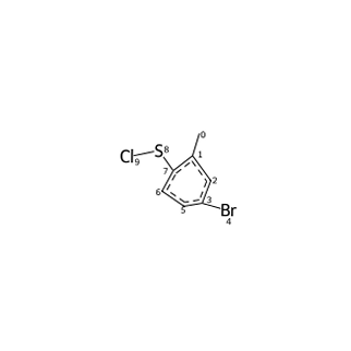 Cc1cc(Br)ccc1SCl